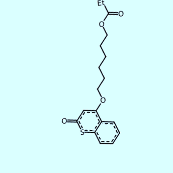 CCC(=O)OCCCCCCOc1cc(=O)sc2ccccc12